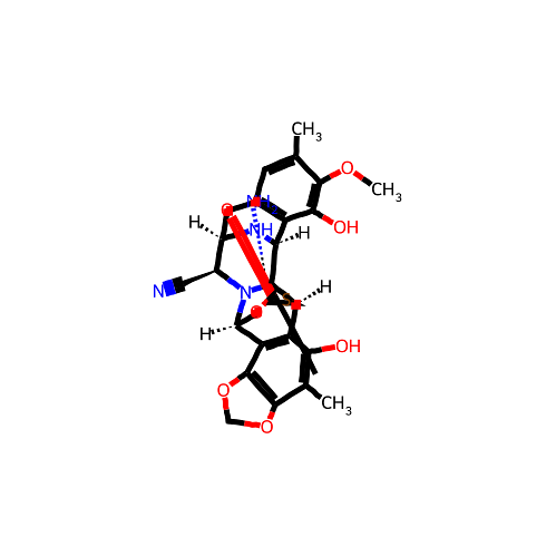 COc1c(C)cc2c(c1O)[C@@H]1N[C@H](C2)[C@H](C#N)N2C1[C@@H]1SC[C@H](N)C(=O)OC[C@H]2c2c3c(c(C)c(O)c21)OCO3